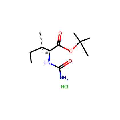 CC[C@H](C)[C@H](NC(N)=O)C(=O)OC(C)(C)C.Cl